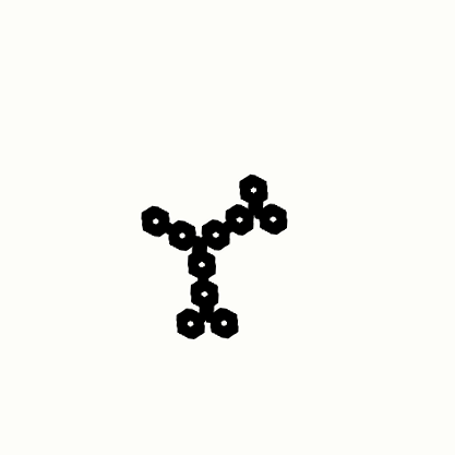 C1CCC(C2CCC(N(C3CCC(C4CCC(N(C5CCCCC5)C5CCCCC5)CC4)CC3)C3CCC(C4CCC(N(C5CCCCC5)C5CCCCC5)CC4)CC3)CC2)CC1